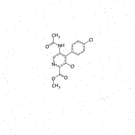 COC(=O)c1ncc(NC(C)=O)c(-c2ccc(Cl)cc2)c1Cl